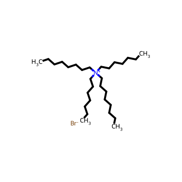 CCCCCCCC[N+](CCCCCCC)(CCCCCCC)CCCCCCCC.[Br-]